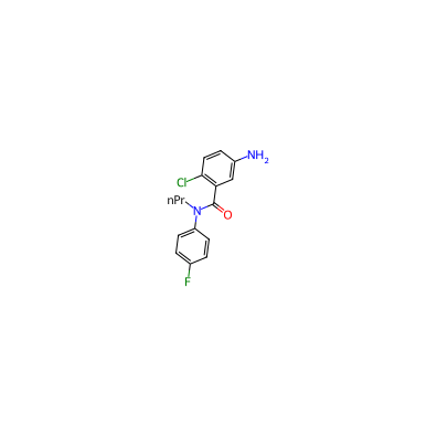 CCCN(C(=O)c1cc(N)ccc1Cl)c1ccc(F)cc1